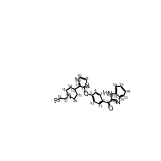 O=C(c1ccc(Oc2nccnc2C2CCN(CCF)CC2)cc1)c1nc2ccccc2[nH]1